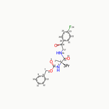 CC(C)[C@](C)(NC(=O)OCc1ccccc1)C(=O)NCC(=O)c1ccc(F)cc1